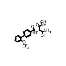 C[C@@H](O)[C@H](NC(=O)c1ccc(-c2ccccc2OC(F)(F)F)cc1)C(=O)NO